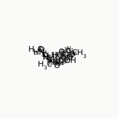 CONc1ccc(SSC(C)(C)CNC(=O)[C@H]2CCc3c(O)c4c(c(O)c3C2)C(=O)c2cccc(OC)c2C4=O)nc1